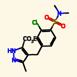 CCOC(=O)c1[nH]nc(C)c1Cc1ccc(S(=O)(=O)N(C)C)c(Cl)c1